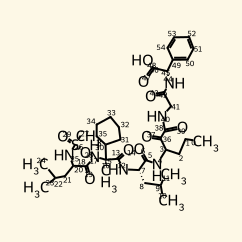 CCCC(NC(=O)[C@H](CC(C)C)NC(=O)[C@@](C)(NC(=O)C(CC(C)C)NS(C)(=O)=O)C1CCCCC1)C(=O)C(=O)NCC(=O)N[C@H](C(=O)O)c1ccccc1